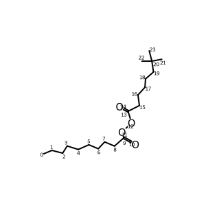 CCCCCCCCCC(=O)OOC(=O)CCCCCC(C)(C)C